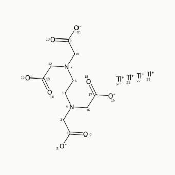 O=C([O-])CN(CCN(CC(=O)[O-])CC(=O)[O-])CC(=O)[O-].[Tl+].[Tl+].[Tl+].[Tl+]